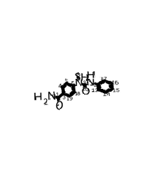 NC(=O)c1ccc(N(S)C(=O)Nc2ccccc2)cc1